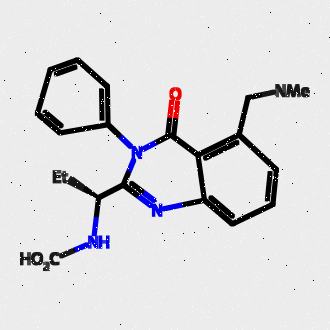 CC[C@H](NC(=O)O)c1nc2cccc(CNC)c2c(=O)n1-c1ccccc1